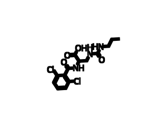 CCCNC(=O)NCC(NC(=O)c1c(Cl)cccc1Cl)C(=O)O